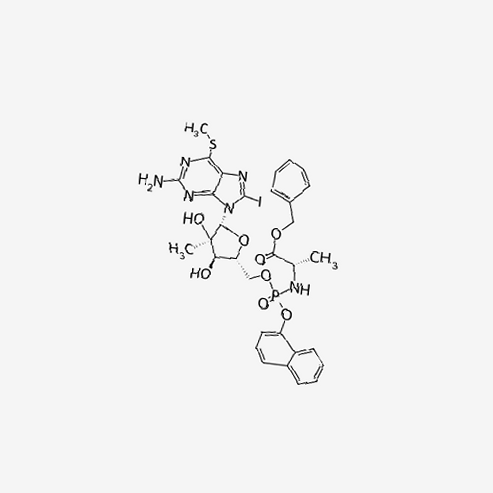 CSc1nc(N)nc2c1nc(I)n2[C@@H]1O[C@H](COP(=O)(N[C@@H](C)C(=O)OCc2ccccc2)Oc2cccc3ccccc23)[C@@H](O)[C@@]1(C)O